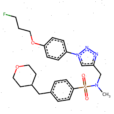 CN(Cc1cn(-c2ccc(OCCCF)cc2)nn1)S(=O)(=O)c1ccc(CC2CCOCC2)cc1